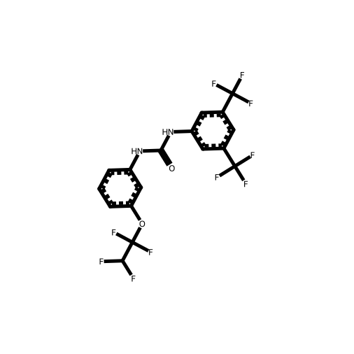 O=C(Nc1cccc(OC(F)(F)C(F)F)c1)Nc1cc(C(F)(F)F)cc(C(F)(F)F)c1